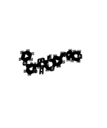 CN1C(=O)[C@H](NC(=O)c2cc(Oc3ccccc3)ccn2)COc2ccc(CN3CC4(CCOCC4)C3)cc21